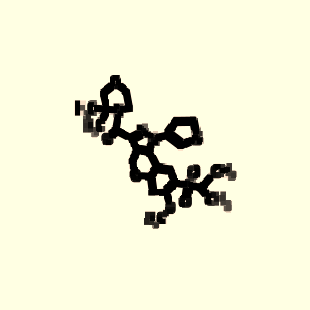 COc1cc2c(cc1S(=O)(=O)C(C)C)-c1c(c(C(=O)N3CCOCC3(C)C)nn1-c1ccsc1)CO2